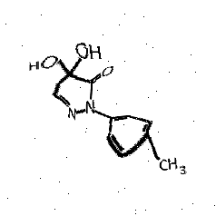 Cc1ccc(N2N=CC(O)(O)C2=O)cc1